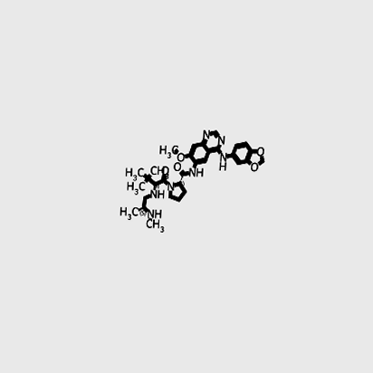 CN[C@@H](C)CN[C@H](C(=O)N1CCC[C@H]1C(=O)Nc1cc2c(Nc3ccc4c(c3)OCO4)ncnc2cc1OC)C(C)(C)C